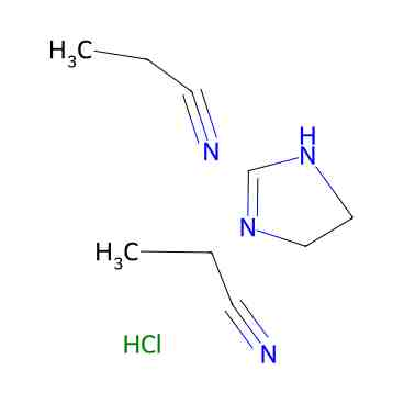 C1=NCCN1.CCC#N.CCC#N.Cl